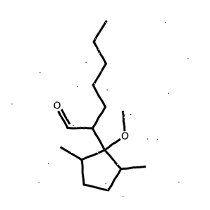 CCCCCC(C=O)C1(OC)C(C)CCC1C